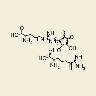 N=C(N)NCCC[C@H](N)C(=O)O.N=C(N)NCCC[C@H](N)C(=O)O.O=c1c(O)c(O)c(=O)c1=O